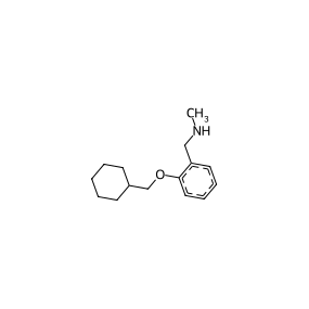 CNCc1ccccc1OCC1CCCCC1